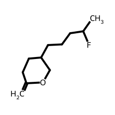 C=C1CCC(CCCC(C)F)CO1